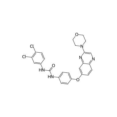 O=C(Nc1ccc(Oc2ccc3ncc(N4CCOCC4)nc3c2)cc1)Nc1ccc(Cl)c(Cl)c1